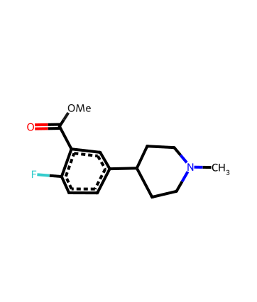 COC(=O)c1cc(C2CCN(C)CC2)ccc1F